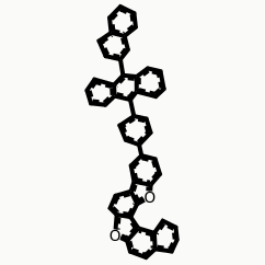 c1ccc2cc(-c3c4ccccc4c(-c4ccc(-c5ccc6oc7c(ccc8oc9ccc%10ccccc%10c9c87)c6c5)cc4)c4ccccc34)ccc2c1